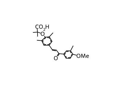 COc1ccc(C(=O)C=Cc2cc(C)c(OC(C)(C)C(=O)O)c(C)c2)cc1C